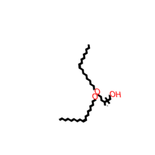 [CH2]C(CCC(OCCCCCCCC/C=C\CCCCCCCC)OCCCCCCCC/C=C\CCCCCCCC)C(C)(C)CCO